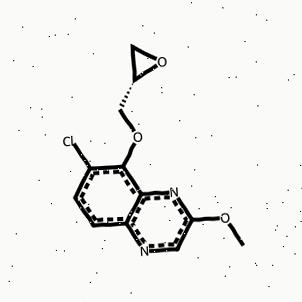 COc1cnc2ccc(Cl)c(OC[C@@H]3CO3)c2n1